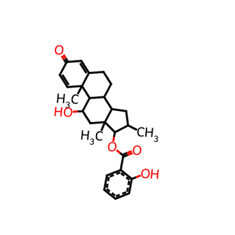 CC1CC2C3CCC4=CC(=O)C=CC4(C)C3C(O)CC2(C)C1OC(=O)c1ccccc1O